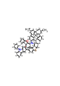 CC1=CC=C(C2(c3ccc(C)cc3)c3ccccc3Cc3c(N(c4cccc5c4oc4ccccc45)c4cccc5sc6ccc(-c7ccc8c(c7)c7ccccc7n8-c7ccccc7)cc6c45)cccc32)CC=C1